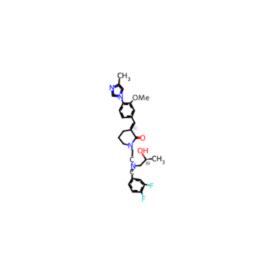 COc1cc(/C=C2\CCCN(CCN(Cc3ccc(F)c(F)c3)C[C@H](C)O)C2=O)ccc1-n1cnc(C)c1